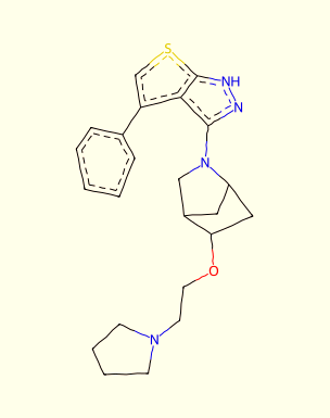 c1ccc(-c2csc3[nH]nc(N4CC5CC4CC5OCCN4CCCC4)c23)cc1